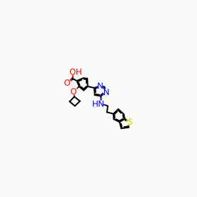 O=C(O)c1ccc(-c2cc(NCCc3ccc4sccc4c3)ncn2)cc1OC1CCC1